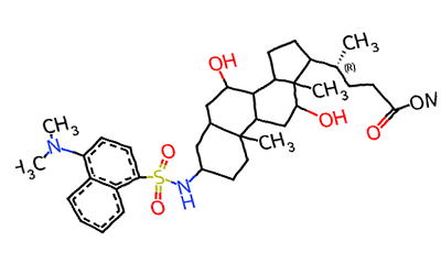 COC(=O)CC[C@@H](C)C1CCC2C3C(O)CC4CC(NS(=O)(=O)c5ccc(N(C)C)c6ccccc56)CCC4(C)C3CC(O)C21C